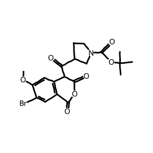 COc1cc2c(cc1Br)C(=O)OC(=O)C2C(=O)C1CCN(C(=O)OC(C)(C)C)C1